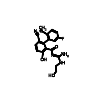 COc1ccc(F)cc1-c1c(C#N)ccc(O)c1C(=O)/N=C(\N)NCCO